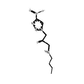 CCCCNCC(=O)Cn1cc([N+](=O)[O-])nn1